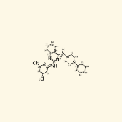 Clc1cc(Cl)cc(Nc2nc(NC3CCN(c4ccccc4)CC3)c3ccccc3n2)c1